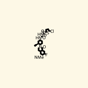 C#Cc1cc(NC(=O)NS(=O)(=O)c2ccc(Cl)s2)ccc1-n1ccc2cc(NC)c(F)cc2c1=O